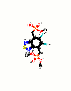 CCOP(=O)(O)Cc1c(F)c(F)c(CP(=O)(OCC)OCC)c2nsnc12